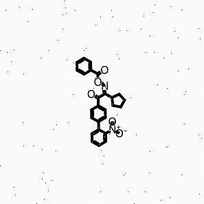 O=C(O/N=C(\C(=O)c1ccc(-c2ccccc2[N+](=O)[O-])cc1)C1CCCC1)c1ccccc1